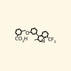 Cc1cnc2c(C(F)(F)F)cccc2c1-c1cccc(OCc2cccc(C(=O)O)c2)c1